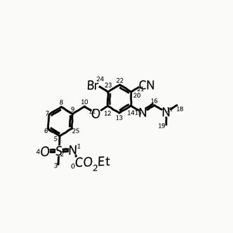 CCOC(=O)N=S(C)(=O)c1cccc(COc2cc(/N=C/N(C)C)c(C#N)cc2Br)c1